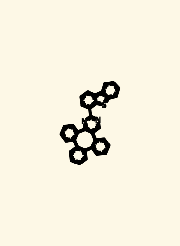 c1ccc2c(c1)-c1ccccc1-c1cnc(-c3cccc4c3sc3ccccc34)nc1-c1ccccc1-2